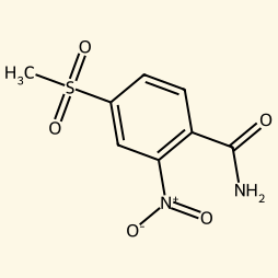 CS(=O)(=O)c1ccc(C(N)=O)c([N+](=O)[O-])c1